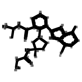 Cc1ccc(F)c2[nH]c(-c3cncc(C(=O)NC(C)C(F)(F)F)c3N3CC[C@](C)(NC(=O)OC(C)(C)C)C3)nc12